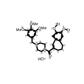 CCOc1cc2c(cc1OCC)CCCC(C(=O)N1CCN(Cc3cc(OC)c(OC)c(OC)c3)CC1)=C2.Cl